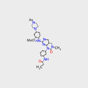 C=CC(=O)Nc1cccc(N2C(=O)N(C)Cc3cnc(Nc4ccc(N5CCN(C(C)=O)CC5)cc4OC)nc32)c1